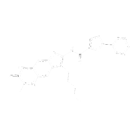 CCOCCCn1c(NC(=O)c2ccc(-c3cncnc3)s2)nc2cc3[nH]c(=O)c(C)nc3cc21